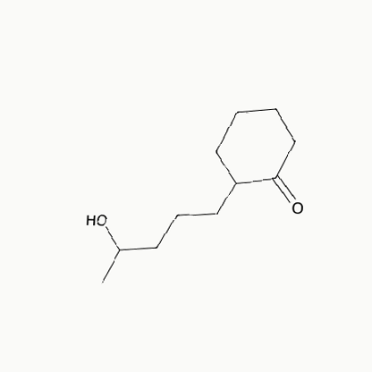 CC(O)CCCC1CCCCC1=O